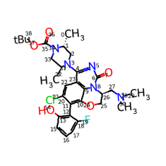 C[C@@H]1CN(c2nc(=O)n3c4c(c(-c5c(O)cccc5F)c(Cl)cc24)OC[C@@H]3CN(C)C)[C@@H](C)CN1C(=O)OC(C)(C)C